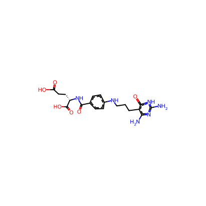 Nc1nc(N)c(CCCNc2ccc(C(=O)N[C@@H](CCC(=O)O)C(=O)O)cc2)c(=O)[nH]1